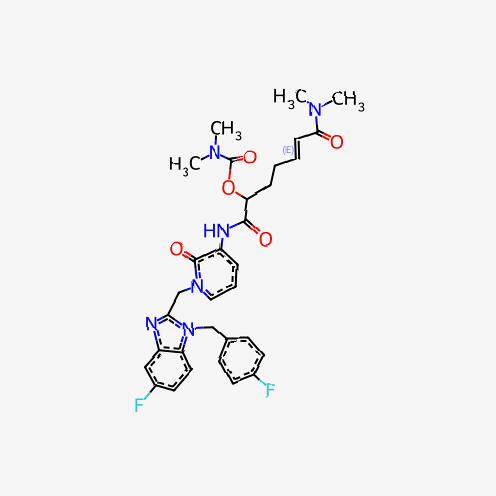 CN(C)C(=O)/C=C/CCC(OC(=O)N(C)C)C(=O)Nc1cccn(Cc2nc3cc(F)ccc3n2Cc2ccc(F)cc2)c1=O